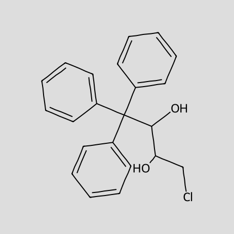 OC(CCl)C(O)C(c1ccccc1)(c1ccccc1)c1ccccc1